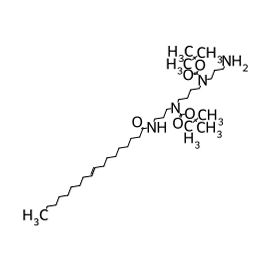 CCCCCCCCC=CCCCCCCCC(=O)NCCCN(CCCCN(CCCN)C(=O)OC(C)(C)C)C(=O)OC(C)(C)C